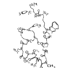 CN(CC(=O)NC[C@H]1CC[C@H](C(=O)N[C@@H](Cc2ccc3ccccc3c2)C(=O)NCCCC[C@H](NC(=O)N[C@@H](CCC(=O)O)C(=O)O)C(=O)O)CC1)C(=O)CN(C)C(=O)CN(C)C(=O)CN(C)C(=O)CN(C)C(=O)CN1CCN(CC(=O)O)CCN(CC(=O)O)CCN(CC(=O)O)CC1